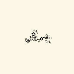 CCOC(Cc1ccc(OCCN(CCCOC(F)(F)C(F)(F)F)C(=O)Nc2ccc(C)cc2)cc1)C(=O)O